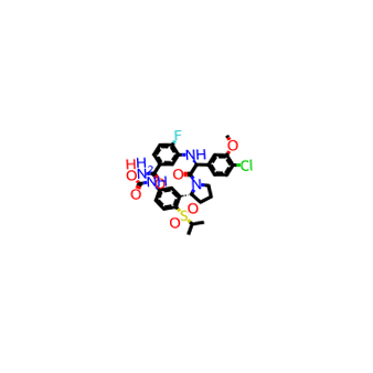 COc1cc([C@H](Nc2cc(C(N)=O)ccc2F)C(=O)N2CCC[C@@H]2c2cc(NC(=O)O)ccc2S(=O)(=O)C(C)C)ccc1Cl